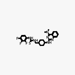 CN(C)c1nc(NC2CCC(CNC(=S)Nc3ccc(F)c(F)c3F)CC2)nc2ccccc12